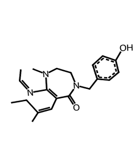 C/C=N\C1=C(/C=C(/C)CC)C(=O)N(Cc2ccc(O)cc2)CCN1C